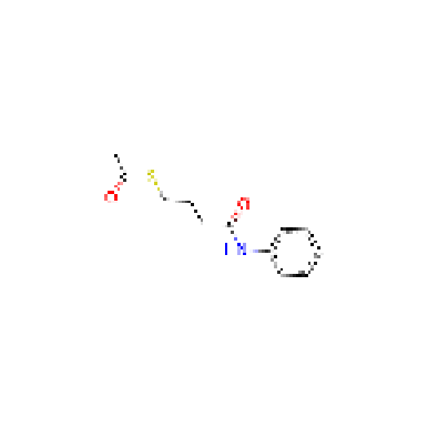 CC(=O)SCCCC(=O)Nc1ccccc1